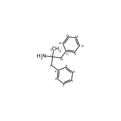 [CH2]C(N)(Cc1ccccc1)Cc1ccccc1